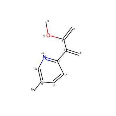 C=C(OC)C(=C)c1ccc(C)cn1